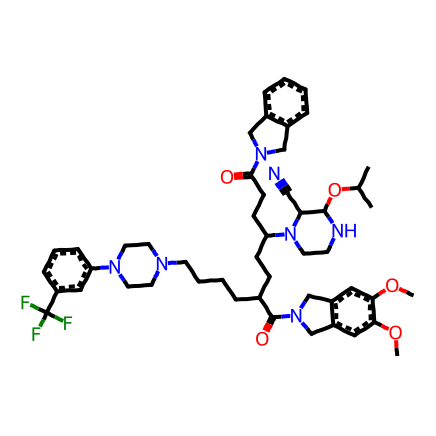 COc1cc2c(cc1OC)CN(C(=O)C(CCCCN1CCN(c3cccc(C(F)(F)F)c3)CC1)CCC(CCC(=O)N1Cc3ccccc3C1)N1CCNC(OC(C)C)C1C#N)C2